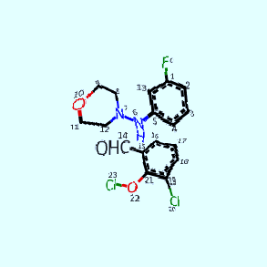 Fc1cccc(NN2CCOCC2)c1.O=Cc1cccc(Cl)c1OCl